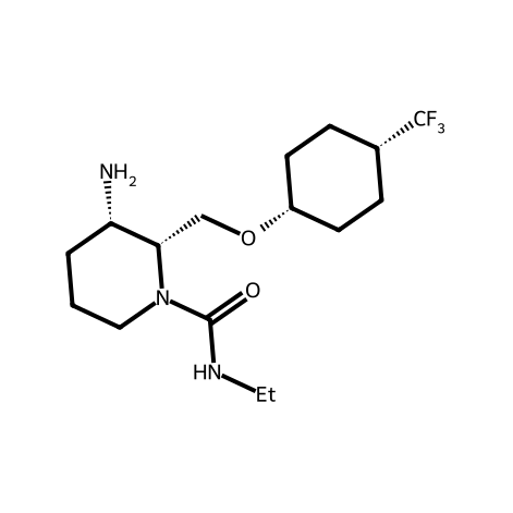 CCNC(=O)N1CCC[C@H](N)[C@@H]1CO[C@H]1CC[C@@H](C(F)(F)F)CC1